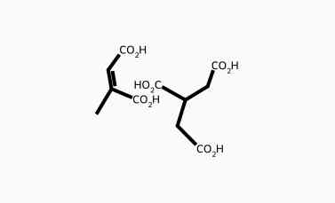 C/C(=C/C(=O)O)C(=O)O.O=C(O)CC(CC(=O)O)C(=O)O